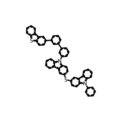 c1ccc(-n2c3ccccc3c3cc(Sc4ccc5c(c4)c4ccccc4n5-c4cccc(-c5cccc(-c6ccc7sc8ccccc8c7c6)c5)c4)ccc32)cc1